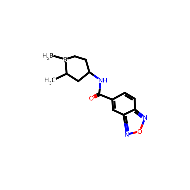 BB1CCC(NC(=O)c2ccc3nonc3c2)CC1C